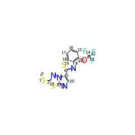 CSc1nn2c(-c3nc4c(OC(F)(F)F)cccc4s3)cnc2s1